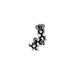 CC1CC(C)CN(C(=O)c2cnn3ccc(C4CCN(S(C)(=O)=O)CC4)cc23)C1